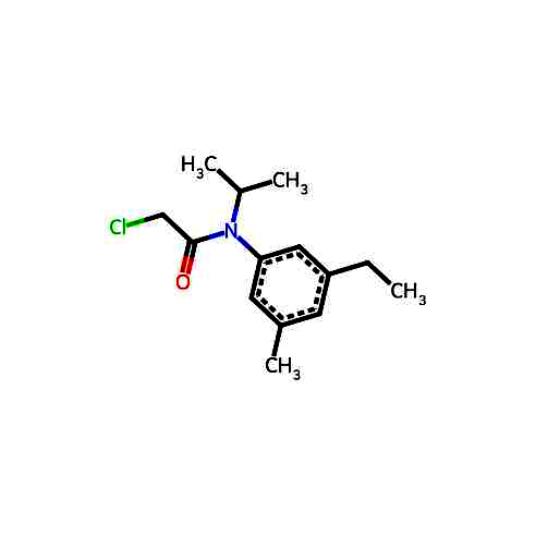 CCc1cc(C)cc(N(C(=O)CCl)C(C)C)c1